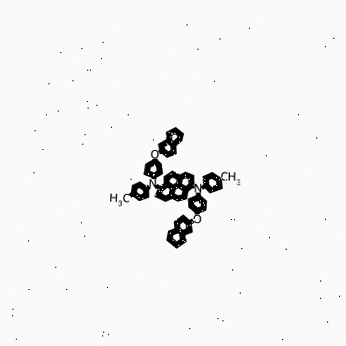 Cc1ccc(N(c2ccc(Oc3ccc4ccccc4c3)cc2)c2ccc3ccc4c(N(c5ccc(C)cc5)c5ccc(Oc6ccc7ccccc7c6)cc5)ccc5ccc2c3c54)cc1